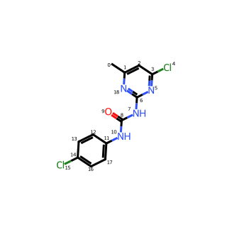 Cc1cc(Cl)nc(NC(=O)Nc2ccc(Cl)cc2)n1